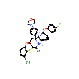 O=C1CC(c2ccc(N3CCOCC3)cc2)(c2cccc(Oc3ccc(F)cc3)n2)NC(=O)C1Sc1ccccc1Cl